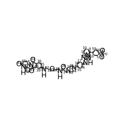 CS(=O)(=O)c1ccc(-c2cccc3nc(Nc4ccc(N5CCN(CC(=O)NCCOCCNc6ccc7c(c6)C(=O)N(C6CCC(=O)NC6=O)C7=O)CC5)cc4)nn23)cc1